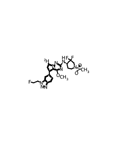 [2H]c1cc(-c2ccc3nnn(CCF)c3c2)c2c(OC)nc(N[C@@H]3CCN(S(C)(=O)=O)CC3(F)F)nn12